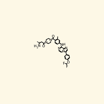 Cc1cc(Nc2nccn3c(-c4ccc(OC(F)F)cc4)cnc23)ccc1C(=O)N1CCN(C(=O)C[C@H](C)N)CC1